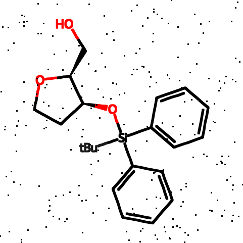 CC(C)(C)[Si](O[C@H]1CCO[C@H]1CO)(c1ccccc1)c1ccccc1